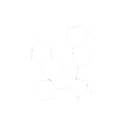 B1NC(C2CCCCC2)C(c2ccc3ccccc3c2)(c2ccc3ccccc3c2)O1